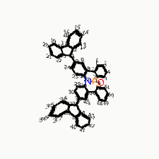 O=P12c3ccccc3-c3cc(C4c5ccccc5-c5ccccc54)ccc3N1c1ccc(C3c4ccccc4-c4ccccc43)cc1-c1ccccc12